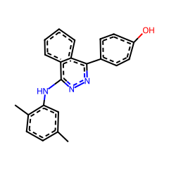 Cc1ccc(C)c(Nc2nnc(-c3ccc(O)cc3)c3ccccc23)c1